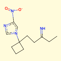 CCC(=N)CCC1(n2cnc([N+](=O)[O-])c2)CCC1